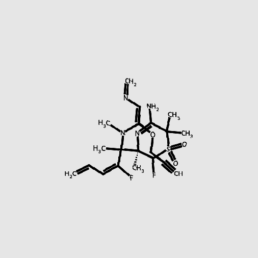 C#CCO/C(=C/N=C)N(C)C(C)(/C(F)=C\C=C)[C@@]1(C)N=C(N)C(C)(C)S(=O)(=O)C1F